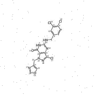 O=c1[nH]c(NCc2ccc(Cl)c(Cl)c2)nc2c(Cl)nn(Cc3cocn3)c12